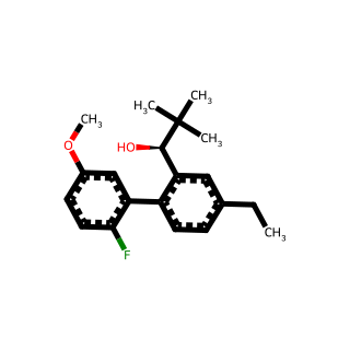 CCc1ccc(-c2cc(OC)ccc2F)c([C@@H](O)C(C)(C)C)c1